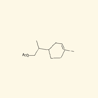 CC(=O)OCC(C)C1CC=C(C)CC1